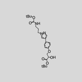 CC(C)(C)OC(=O)NCCCn1cc(-c2ccc(OC[C@@H](O)C(=O)OC(C)(C)C)cc2)cn1